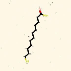 O=C(S)CCCCCCCCCCCS